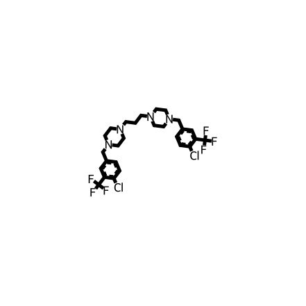 FC(F)(F)c1cc(CN2CCN(CCCN3CCN(Cc4ccc(Cl)c(C(F)(F)F)c4)CC3)CC2)ccc1Cl